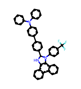 FC(F)(F)c1ccc(N2c3c(c4ccccc4c4ccccc34)NC2c2ccc(-c3ccc(N(c4ccccc4)c4ccccc4)cc3)cc2)cc1